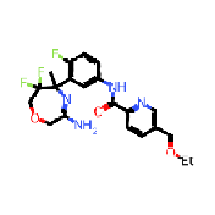 CCOCc1ccc(C(=O)Nc2ccc(F)c(C3(C)N=C(N)COCC3(F)F)c2)nc1